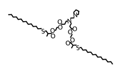 CCCCCCCCCCCCCCSCC(C)C(=O)OCCOC(=O)CCN(CCC(=O)OCCOC(=O)C(C)CSCCCCCCCCCCCCCC)CCN1CCCC1